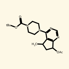 CC(=O)OC1CC(C)c2c1ncnc2N1CCN(C(=O)OC(C)(C)C)CC1